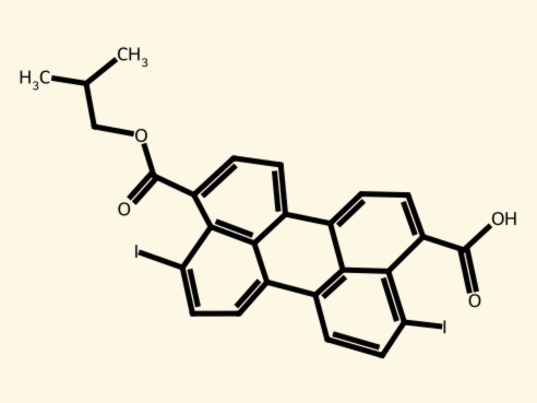 CC(C)COC(=O)c1ccc2c3ccc(C(=O)O)c4c(I)ccc(c5ccc(I)c1c52)c43